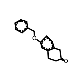 O=C1CCc2cc(OCc3ccccc3)ccc2C1